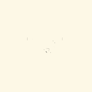 CCCCCCc1nsnc1C1CN2CC1CCC2C